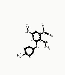 CNc1c(Sc2ccc(C)cc2)cc(OC)cc1[N+](=O)[O-]